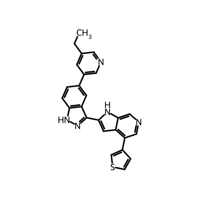 CCc1cncc(-c2ccc3[nH]nc(-c4cc5c(-c6ccsc6)cncc5[nH]4)c3c2)c1